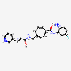 Nc1ccc(F)cc1NC(=O)C1=CC=C(CNC(=O)/C=C/c2cccnc2)CC=C1